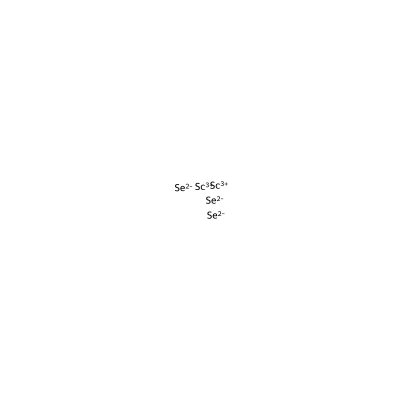 [Sc+3].[Sc+3].[Se-2].[Se-2].[Se-2]